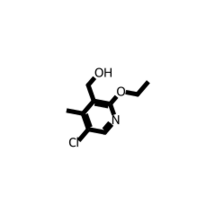 CCOc1ncc(Cl)c(C)c1CO